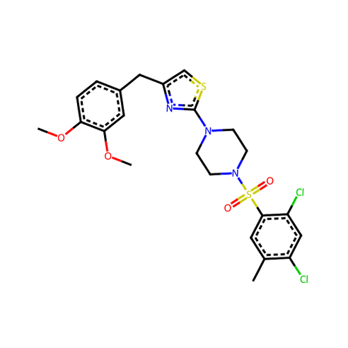 COc1ccc(Cc2csc(N3CCN(S(=O)(=O)c4cc(C)c(Cl)cc4Cl)CC3)n2)cc1OC